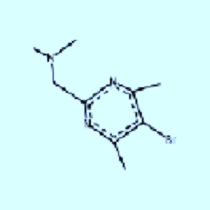 Cc1nc(CN(C)C)nc(C)c1Br